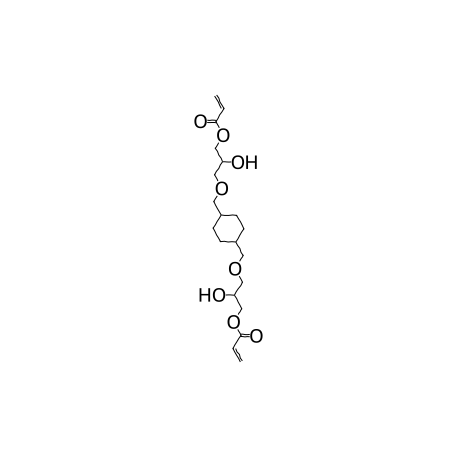 C=CC(=O)OCC(O)COCC1CCC(COCC(O)COC(=O)C=C)CC1